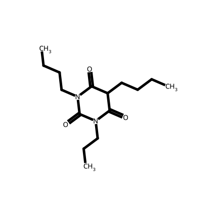 CCCCC1C(=O)N(CCC)C(=O)N(CCCC)C1=O